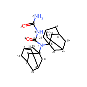 NC(=O)NC(=O)N(C12CC3CC(CC(C3)C1)C2)C12CC3CC(CC(C3)C1)C2